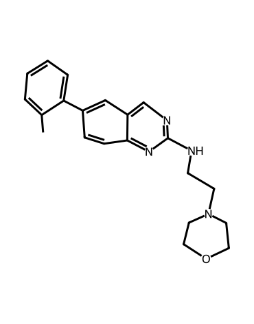 Cc1ccccc1-c1ccc2nc(NCCN3CCOCC3)ncc2c1